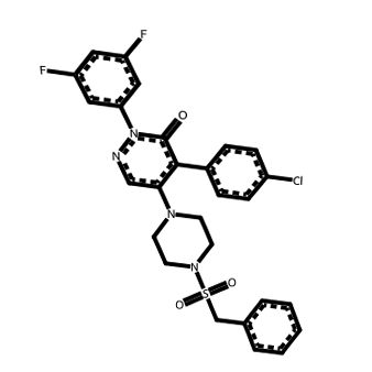 O=c1c(-c2ccc(Cl)cc2)c(N2CCN(S(=O)(=O)Cc3ccccc3)CC2)cnn1-c1cc(F)cc(F)c1